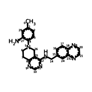 Cc1ccc(N2CCc3ncnc(NCc4ccc5nccnc5c4)c3C2)c(N)c1